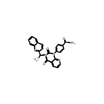 CC(c1ccc2ccccc2n1)n1c(=O)c2cccnc2n(-c2ccc(C(N)=O)cc2)c1=O